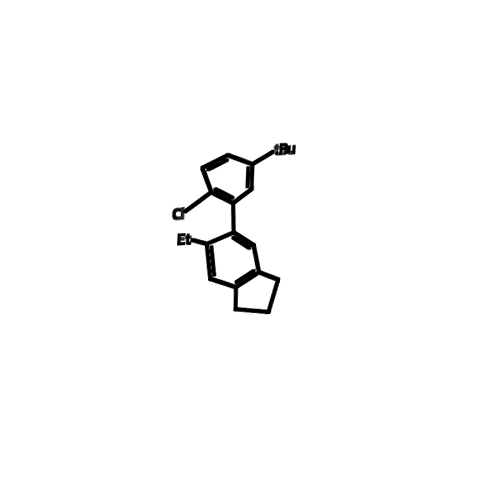 CCc1cc2c(cc1-c1cc(C(C)(C)C)ccc1Cl)CCC2